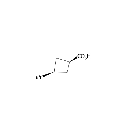 CC(C)[C@H]1C[C@@H](C(=O)O)C1